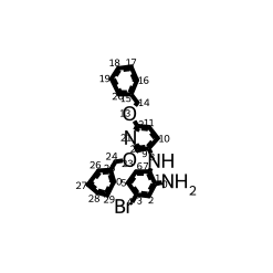 Nc1cc(Br)ccc1Nc1ccc(OCc2ccccc2)nc1OCc1ccccc1